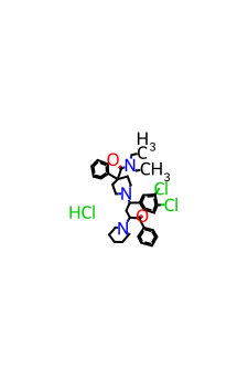 CCN(CC)C(=O)C1(c2ccccc2)CCN(C(CC(C(=O)c2ccccc2)N2CCCCC2)c2ccc(Cl)c(Cl)c2)CC1.Cl